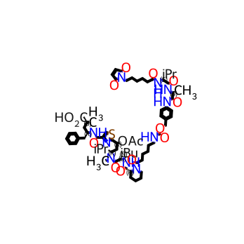 CC[C@H](C)[C@H](NC(=O)[C@H]1CCCCN1C(=O)CCCCCNC(=O)OCc1ccc(NC(=O)[C@H](C)NC(=O)[C@@H](NC(=O)CCCCCN2C(=O)C=CC2=O)C(C)C)cc1)C(=O)N(C)[C@H](C[C@@H](OC(C)=O)c1nc(C(=O)N[C@@H](Cc2ccccc2)C[C@H](C)C(=O)O)cs1)C(C)C